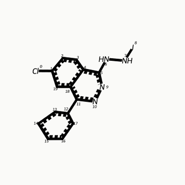 Clc1ccc2c(NNI)nnc(-c3ccccc3)c2c1